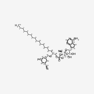 CCCCCCCCCCCCCCCCC[C@@H](COP(=O)(O)O[C@H]1[C@]2(O)[C@@H](O)[C@@H](c3ccc4c(N)ncnn34)O[C@]12C#N)OCc1cc(F)cc(C#N)c1